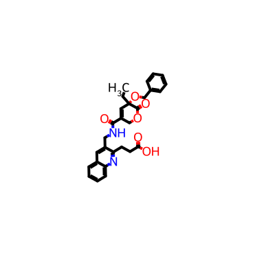 CCC1(OCc2ccccc2)C=C(C(=O)NCc2cc3ccccc3nc2CCC(=O)O)COC1=O